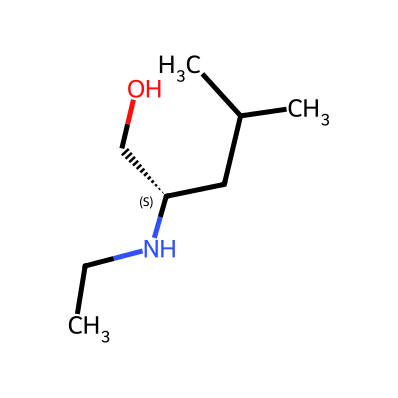 CCN[C@H](CO)CC(C)C